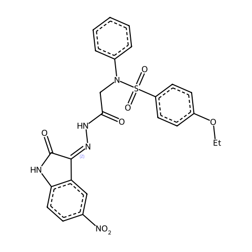 CCOc1ccc(S(=O)(=O)N(CC(=O)N/N=C2\C(=O)Nc3ccc([N+](=O)[O-])cc32)c2ccccc2)cc1